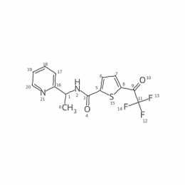 CC(NC(=O)c1ccc(C(=O)C(F)(F)F)s1)c1ccccn1